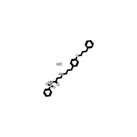 Cl.O=C(CCNCCCc1ccc(OCCCc2ccccc2)cc1)NS(=O)(=O)c1ccccc1